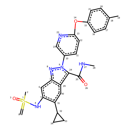 C=S(C)(=O)Nc1cc2nn(-c3ccc(Oc4ccc(C)cc4)nc3)c(C(=O)NC)c2cc1C1CC1